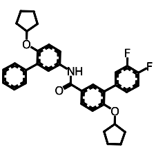 O=C(Nc1ccc(OC2CCCC2)c(-c2ccccc2)c1)c1ccc(OC2CCCC2)c(-c2ccc(F)c(F)c2)c1